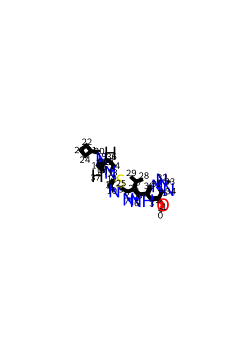 COc1cc(-c2[nH]nc(-c3ncc(N4C[C@@H]5C[C@H]4CN5CC4CCC4)s3)c2C(C)C)cn2ncnc12